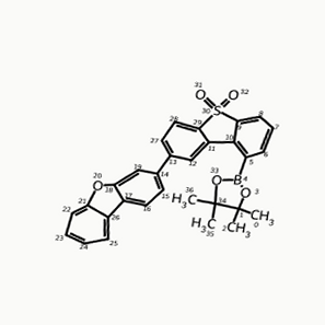 CC1(C)OB(c2cccc3c2-c2cc(-c4ccc5c(c4)oc4ccccc45)ccc2S3(=O)=O)OC1(C)C